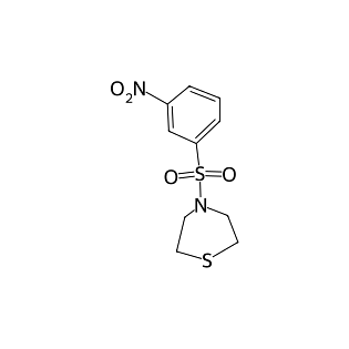 O=[N+]([O-])c1cccc(S(=O)(=O)N2CCSCC2)c1